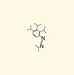 CC(C)N=C=Nc1ccc(C(C)C)c(C(C)C)c1C(C)C